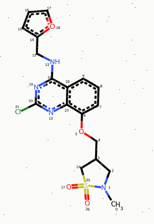 CN1CC(COc2cccc3c(NCc4ccco4)nc(Cl)nc23)CS1(=O)=O